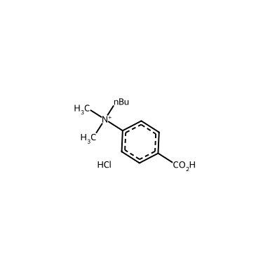 CCCC[N+](C)(C)c1ccc(C(=O)O)cc1.Cl